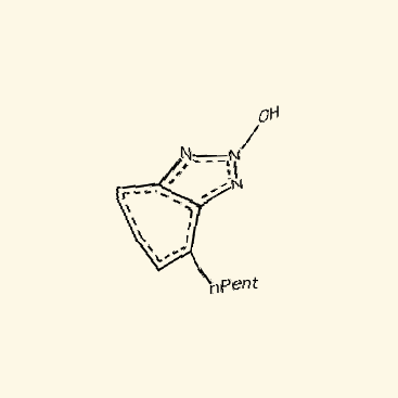 CCCCCc1cccc2nn(O)nc12